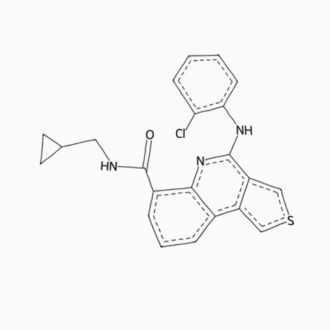 O=C(NCC1CC1)c1cccc2c1nc(Nc1ccccc1Cl)c1cscc12